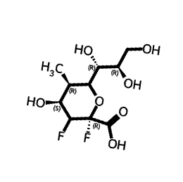 C[C@H]1C([C@H](O)[C@H](O)CO)O[C@@](F)(C(=O)O)C(F)[C@H]1O